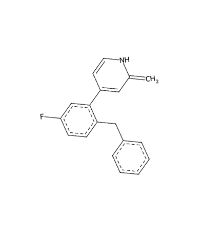 C=C1C=C(c2cc(F)ccc2Cc2ccccc2)C=CN1